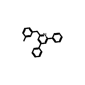 Cc1cccc(Cc2cc(-c3ccccc3)cc(-c3ccccc3)n2)c1